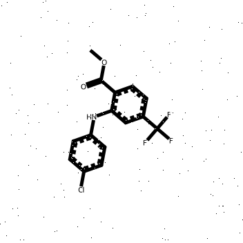 COC(=O)c1ccc(C(F)(F)F)cc1Nc1ccc(Cl)cc1